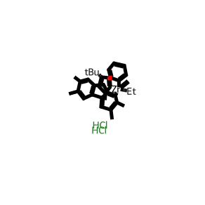 Cl.Cl.[CH2]=[Zr]([CH2]C)([C]1=CC(C(C)(C)C)=CC1C)([c]1ccccc1)[c]1c(C)c(C)cc2c1Cc1cc(C)c(C)cc1-2